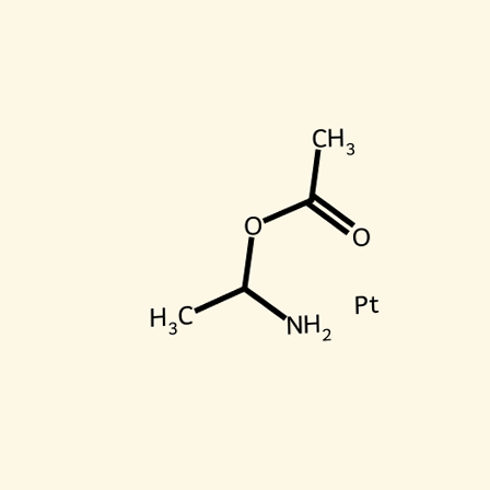 CC(=O)OC(C)N.[Pt]